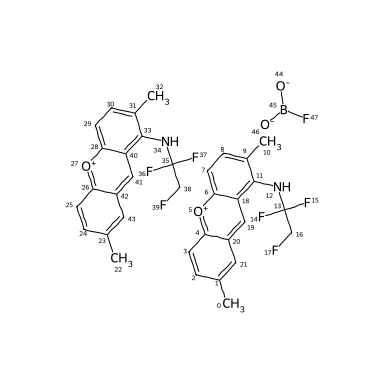 Cc1ccc2[o+]c3ccc(C)c(NC(F)(F)CF)c3cc2c1.Cc1ccc2[o+]c3ccc(C)c(NC(F)(F)CF)c3cc2c1.[O-]B([O-])F